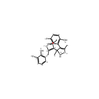 CC1=C(c2cc(F)ccc2O)C(C)(c2c(C)noc2C)NO1.Oc1ccccc1F